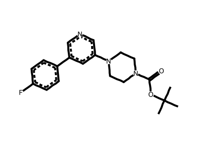 CC(C)(C)OC(=O)N1CCN(c2cncc(-c3ccc(F)cc3)c2)CC1